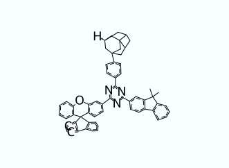 CC1(C)c2ccccc2-c2ccc(-c3nc(-c4ccc(C56CC7CC8C[C@@H](C5)CC87C6)cc4)nc(-c4ccc5c(c4)Oc4ccccc4C54c5ccccc5-c5ccccc54)n3)cc21